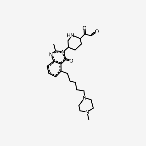 Cc1nc2cccc(CCCCCN3CCN(C)CC3)c2c(=O)n1C1CCC(C(=O)C=O)NC1